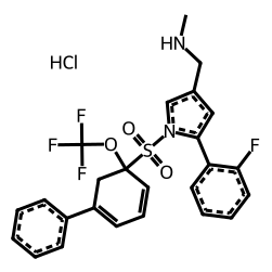 CNCc1cc(-c2ccccc2F)n(S(=O)(=O)C2(OC(F)(F)F)C=CC=C(c3ccccc3)C2)c1.Cl